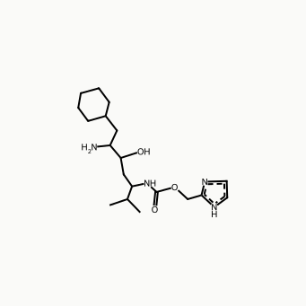 CC(C)C(CC(O)C(N)CC1CCCCC1)NC(=O)OCc1ncc[nH]1